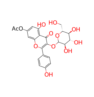 CC(=O)Oc1cc(O)c2c(=O)c(OC3O[C@H](CO)[C@@H](O)[C@H](O)[C@H]3O)c(-c3ccc(O)cc3)oc2c1